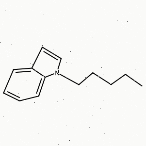 CCCCCn1c[c]c2ccccc21